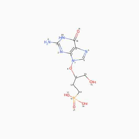 Nc1nc2c(ncn2OC(CO)CCP(=O)(O)O)c(=O)[nH]1